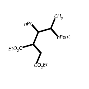 CCCCCC(C)C(CCC)C(CC(=O)OCC)C(=O)OCC